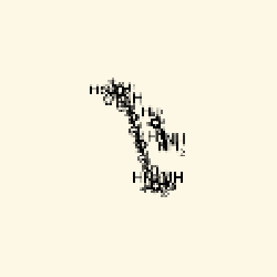 I.N=C(N)NCc1cccc(I)c1.O=C(CCOCCOCCOCCOCCC(=O)Nc1c(I)cc(I)c(C(=O)O)c1I)Nc1c(I)cc(I)c(C(=O)O)c1I